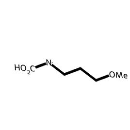 COCCC[N]C(=O)O